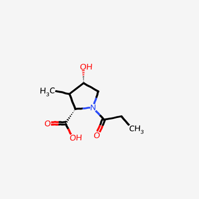 CCC(=O)N1C[C@@H](O)C(C)[C@H]1C(=O)O